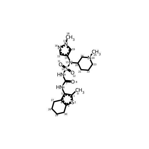 Cc1sc2c(c1NC(=O)NS(=O)(=O)N(c1cnn(C)c1)C1CCCN(C)C1)CCCC2